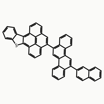 c1ccc2cc(-c3cc4c5ccccc5c(-c5cc6cccc7c8c9ccccc9sc8c8cccc5c8c67)cc4c4ccccc34)ccc2c1